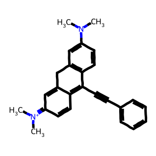 CN(C)c1ccc2c(c1)CC1=CC(=[N+](C)C)C=CC1=C2C#Cc1ccccc1